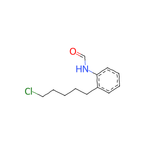 O=CNc1ccccc1CCCCCCl